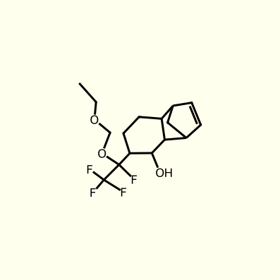 CCOCOC(F)(C1CCC2C3C=CC(C3)C2C1O)C(F)(F)F